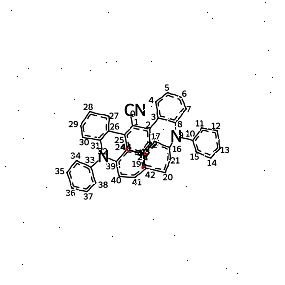 N#Cc1c(-c2ccccc2N(c2ccccc2)c2ccccc2)cccc1-c1ccccc1N(c1ccccc1)c1ccccc1